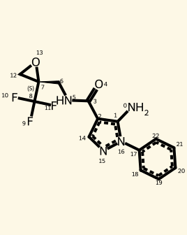 Nc1c(C(=O)NC[C@@]2(C(F)(F)F)CO2)cnn1-c1ccccc1